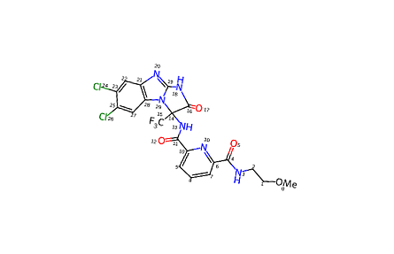 COCCNC(=O)c1cccc(C(=O)NC2(C(F)(F)F)C(=O)Nc3nc4cc(Cl)c(Cl)cc4n32)n1